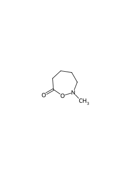 CN1CCCCC(=O)O1